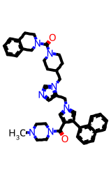 CN1CCN(C(=O)c2cn(Cc3cncn3CC3CCN(C(=O)N4CCc5ccccc5C4)CC3)cc2-c2cccc3ccccc23)CC1